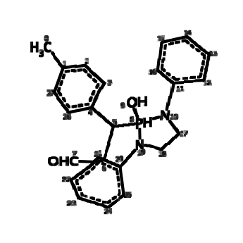 Cc1ccc(C(CC=O)[PH]2(O)N(c3ccccc3)CCN2c2ccccc2)cc1